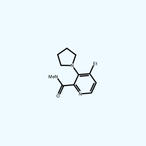 CCc1ccnc(C(=O)NC)c1N1CCCC1